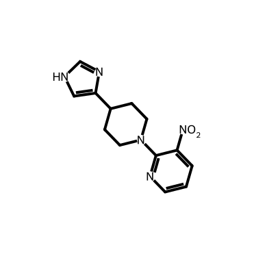 O=[N+]([O-])c1cccnc1N1CCC(c2c[nH]cn2)CC1